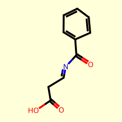 O=C(O)CC=NC(=O)c1ccccc1